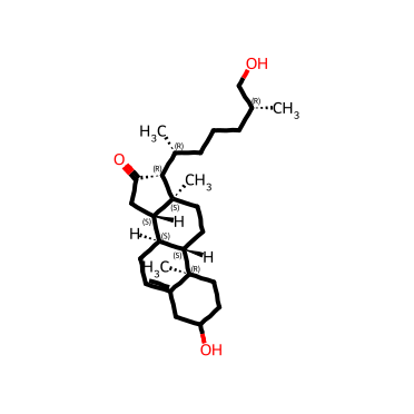 C[C@@H](CO)CCC[C@@H](C)[C@H]1C(=O)C[C@H]2[C@@H]3CC=C4CC(O)CC[C@]4(C)[C@H]3CC[C@]12C